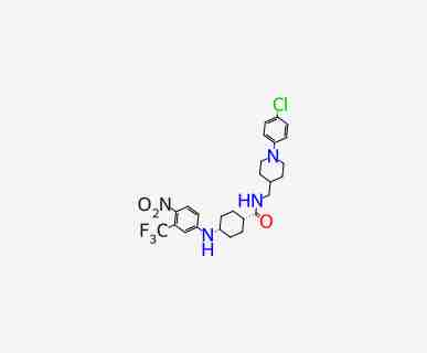 O=C(NCC1CCN(c2ccc(Cl)cc2)CC1)[C@H]1CC[C@@H](Nc2ccc([N+](=O)[O-])c(C(F)(F)F)c2)CC1